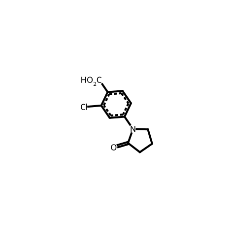 O=C(O)c1ccc(N2CCCC2=O)cc1Cl